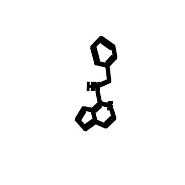 c1ccc(CNc2sccc3cccc2-3)cc1